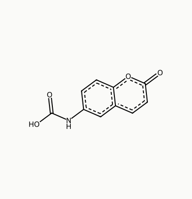 O=C(O)Nc1ccc2oc(=O)ccc2c1